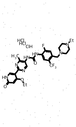 CCOc1cc(=O)[nH]cc1-c1ncc(NC(=O)Nc2cc(C(F)(F)F)c(CN3CCN(CC)CC3)cc2F)c(C)n1.Cl.Cl.Cl